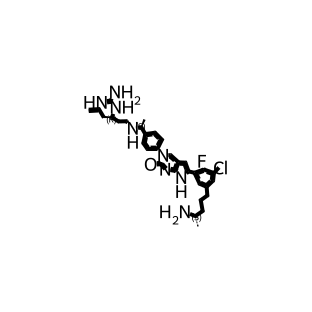 C=CC[C@H](CCN[C@@H](C)c1ccc(-n2cc3cc(-c4cc(CCC[C@H](C)N)cc(Cl)c4F)[nH]c3nc2=O)cc1)NC(=N)N